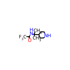 CC(C)(NC(=O)C(F)(F)F)C1CCNCC1